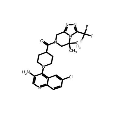 CC1(C)CN(C(=O)C2CCN(c3c(N)cnc4ccc(Cl)cc34)CC2)Cc2nnc(C(F)(F)F)n21